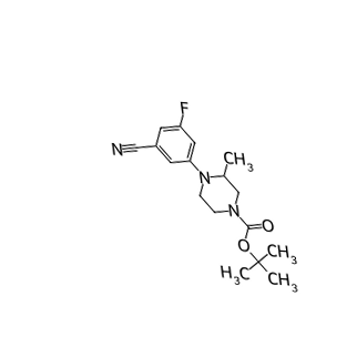 CC1CN(C(=O)OC(C)(C)C)CCN1c1cc(F)cc(C#N)c1